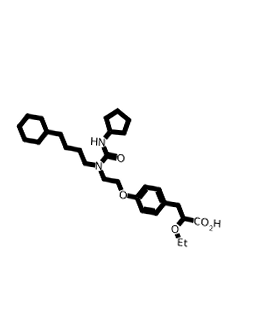 CCOC(Cc1ccc(OCCN(CCCCC2CCCCC2)C(=O)NC2CCCC2)cc1)C(=O)O